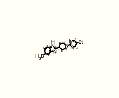 Bc1ccc2[nH]c(C3CCN(c4ncc(CC)cn4)CC3)nc2c1